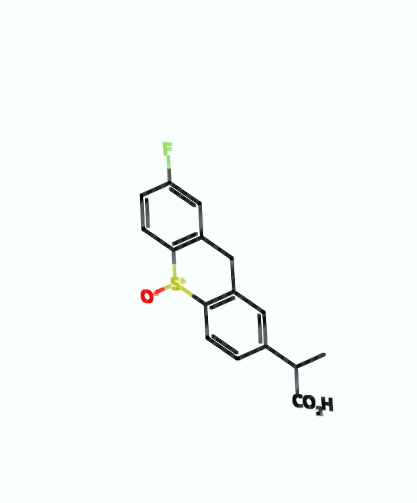 CC(C(=O)O)c1ccc2c(c1)Cc1cc(F)ccc1[S+]2[O-]